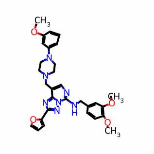 COc1cccc(N2CCN(Cc3cnc(NCc4ccc(OC)c(OC)c4)n4nc(-c5ccco5)nc34)CC2)c1